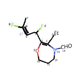 CCC1=C(C(F)/C=C(\C)F)OCCCN1C=O